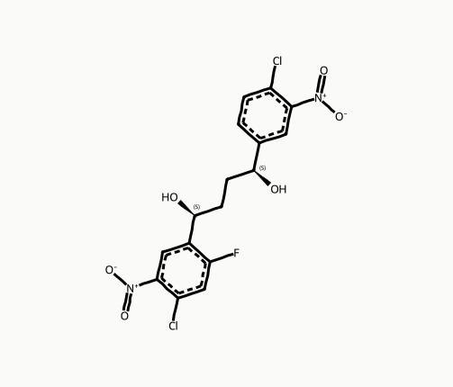 O=[N+]([O-])c1cc([C@@H](O)CC[C@H](O)c2cc([N+](=O)[O-])c(Cl)cc2F)ccc1Cl